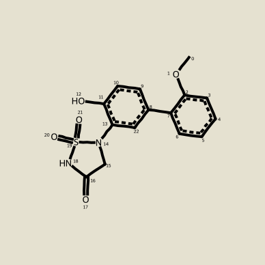 COc1ccccc1-c1ccc(O)c(N2CC(=O)NS2(=O)=O)c1